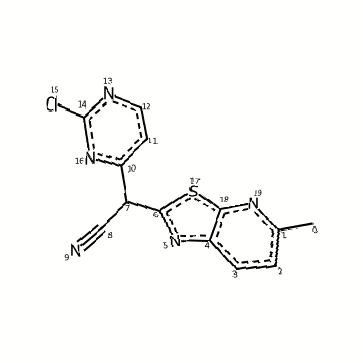 Cc1ccc2nc(C(C#N)c3ccnc(Cl)n3)sc2n1